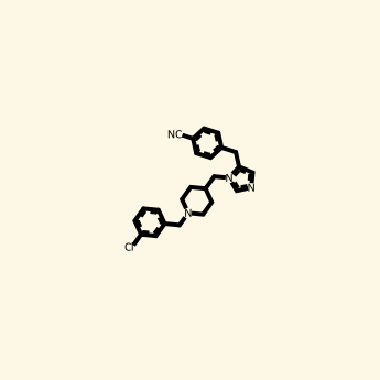 N#Cc1ccc(Cc2cncn2CC2CCN(Cc3cccc(Cl)c3)CC2)cc1